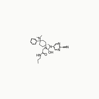 CCCNC(=O)CN1C(O)N(c2cnc(C#N)nc2)C[C@]12CC[C@](c1ccccc1)(N(C)C)CC2